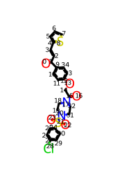 O=C(C=Cc1cccs1)c1ccc(OCC(=O)N2CCN(S(=O)(=O)c3ccc(Cl)cc3)CC2)cc1